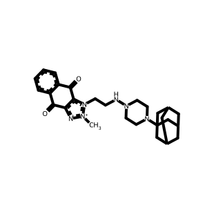 C[n+]1nc2c(n1CCNN1CCN(C34CC5CC(CC(C5)C3)C4)CC1)C(=O)c1ccccc1C2=O